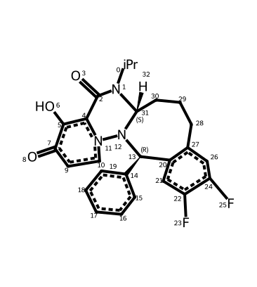 CC(C)N1C(=O)c2c(O)c(=O)ccn2N2[C@H](c3ccccc3)c3cc(F)c(F)cc3CCC[C@@H]12